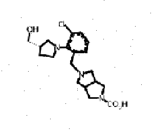 O=C(O)N1CC2CN(Cc3cccc(Cl)c3N3CC[C@H](CO)C3)CC2C1